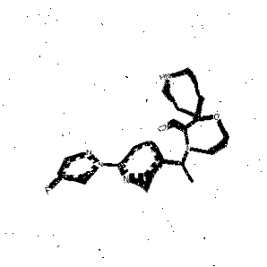 CC(c1ccc(-n2cc(F)cn2)nc1)N1CCOC2(CCNCC2)C1=O